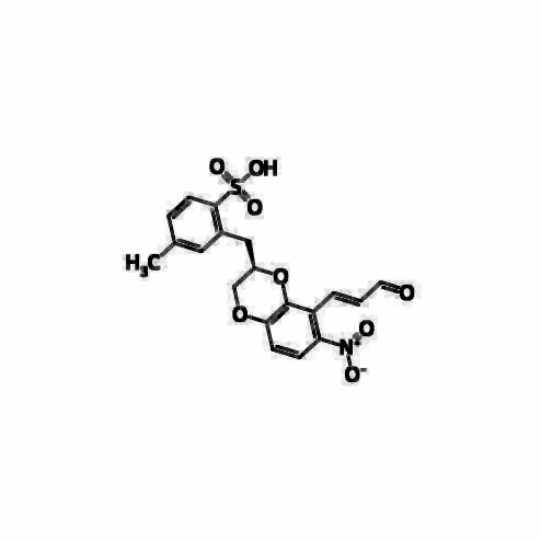 Cc1ccc(S(=O)(=O)O)c(C[C@@H]2COc3ccc([N+](=O)[O-])c(/C=C/C=O)c3O2)c1